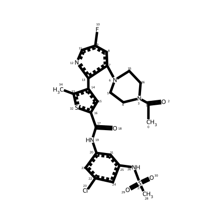 CC(=O)N1CCN(c2cc(F)cnc2-c2cc(C(=O)Nc3cc(Cl)cc(NS(C)(=O)=O)c3)sc2C)CC1